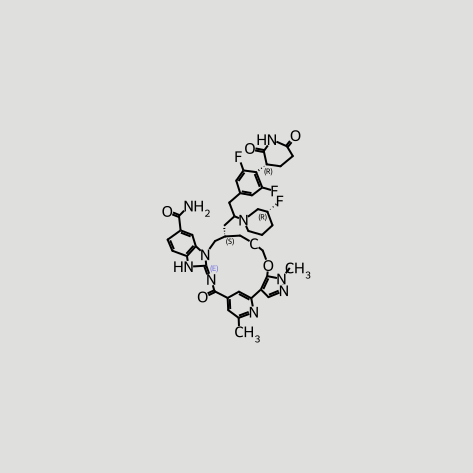 Cc1cc2cc(n1)-c1cnn(C)c1OCCC[C@@H](CC(Cc1cc(F)c([C@H]3CCC(=O)NC3=O)c(F)c1)N1CCC[C@@H](F)C1)CN1/C(=N/C2=O)Nc2ccc(C(N)=O)cc21